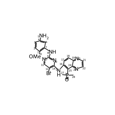 COc1ccc(N)cc1Nc1ncc(Br)c(Nc2ccc3nccnc3c2P(C)(C)=O)n1